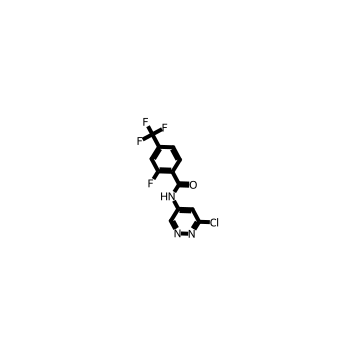 O=C(Nc1cnnc(Cl)c1)c1ccc(C(F)(F)F)cc1F